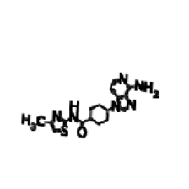 Cc1csc(NC(=O)C2CCC(n3cnc4c(N)nccc43)CC2)n1